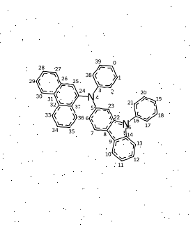 c1ccc(N(c2ccc3c4ccccc4n(-c4ccccc4)c3c2)c2cc3ccccc3c3ccccc23)cc1